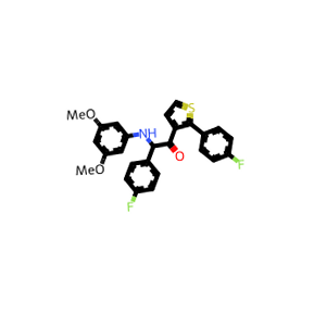 COc1cc(NC(C(=O)c2ccsc2-c2ccc(F)cc2)c2ccc(F)cc2)cc(OC)c1